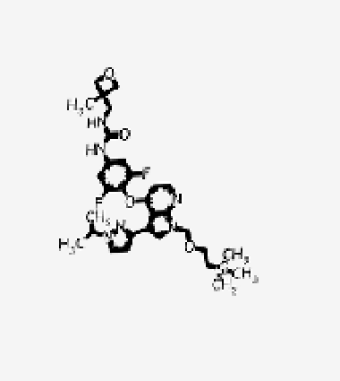 CC(C)n1ccc(-c2cn(COCC[Si](C)(C)C)c3nccc(Oc4c(F)cc(NC(=O)NCC5(C)COC5)cc4F)c23)n1